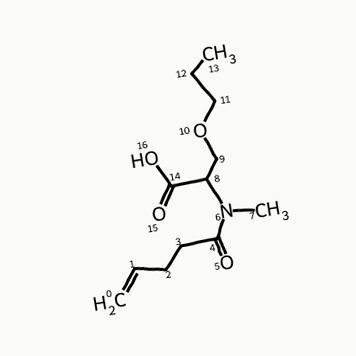 C=CCCC(=O)N(C)C(COCCC)C(=O)O